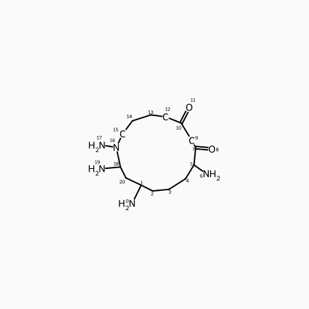 NC1CCCC(N)C(=O)CC(=O)CCCCN(N)C(N)C1